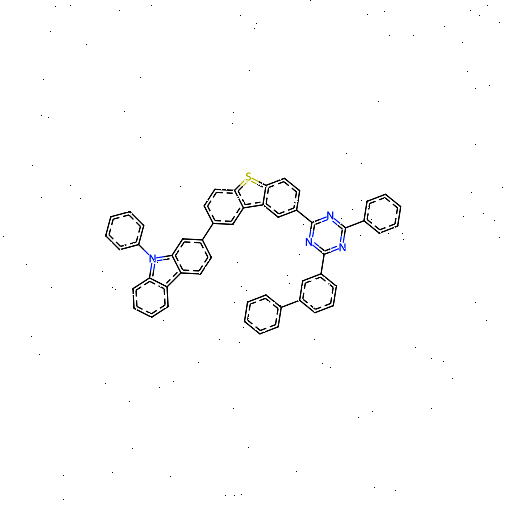 c1ccc(-c2cccc(-c3nc(-c4ccccc4)nc(-c4ccc5sc6ccc(-c7ccc8c9ccccc9n(-c9ccccc9)c8c7)cc6c5c4)n3)c2)cc1